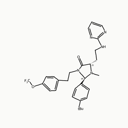 CN1[C@@H](CCNc2ncccn2)C(=O)N(CCc2ccc(OC(F)(F)F)cc2)[C@@H]1c1ccc(C(C)(C)C)cc1